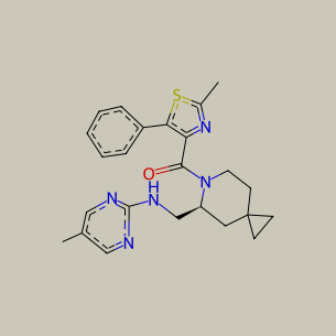 Cc1cnc(NC[C@@H]2CC3(CCN2C(=O)c2nc(C)sc2-c2ccccc2)CC3)nc1